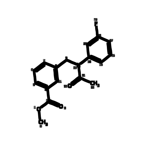 COC(=O)c1cccc(CN(C(C)=O)c2cccc(F)c2)c1